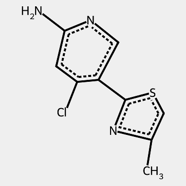 Cc1csc(-c2cnc(N)cc2Cl)n1